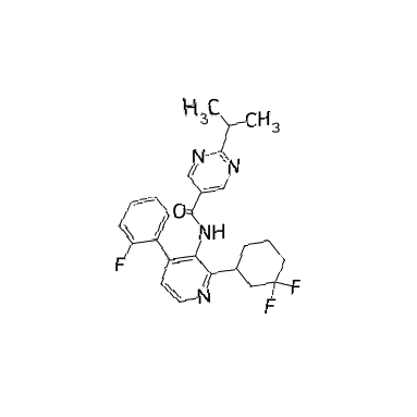 CC(C)c1ncc(C(=O)Nc2c(-c3ccccc3F)ccnc2C2CCCC(F)(F)C2)cn1